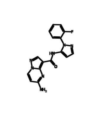 Nc1ccn2ncc(C(=O)Nc3ccnn3-c3ccccc3F)c2n1